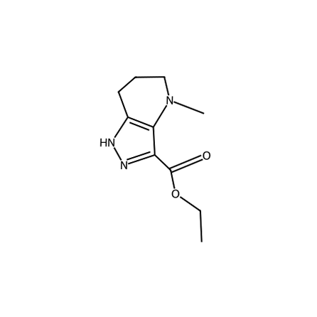 CCOC(=O)c1n[nH]c2c1N(C)CCC2